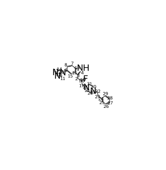 F[C@H](Cc1c[nH]c2ccc(-n3cnnc3)cc12)CN1CCN(CCc2ccccc2)CC1